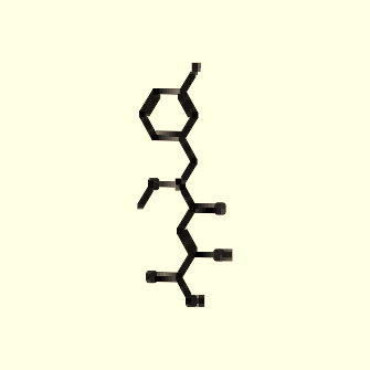 CON(Cc1cccc(F)c1)C(=O)C=C(O)C(=O)O